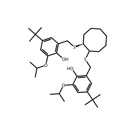 CC(C)Oc1cc(C(C)(C)C)cc(CSC2CCCCCC[C@@H]2SCc2cc(C(C)(C)C)cc(OC(C)C)c2O)c1O